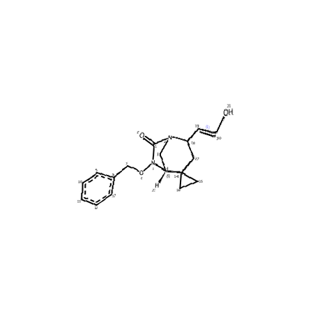 O=C1N2C[C@@H](N1OCc1ccccc1)C1(CC1)CC2/C=C/O